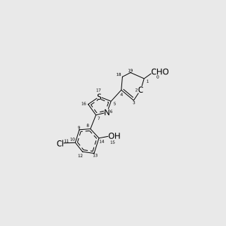 O=CC1CC=C(c2nc(-c3cc(Cl)ccc3O)cs2)CC1